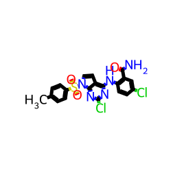 Cc1ccc(S(=O)(=O)n2ccc3c(Nc4ccc(Cl)cc4C(N)=O)nc(Cl)nc32)cc1